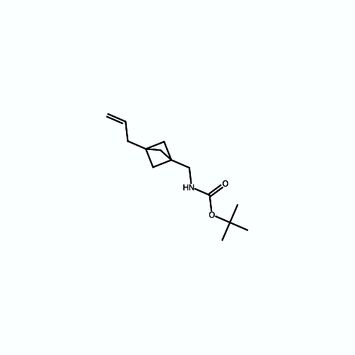 C=CCC12CC(CNC(=O)OC(C)(C)C)(C1)C2